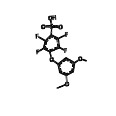 COc1cc(OC)cc(Oc2c(F)c(F)c(S(=O)(=O)O)c(F)c2F)c1